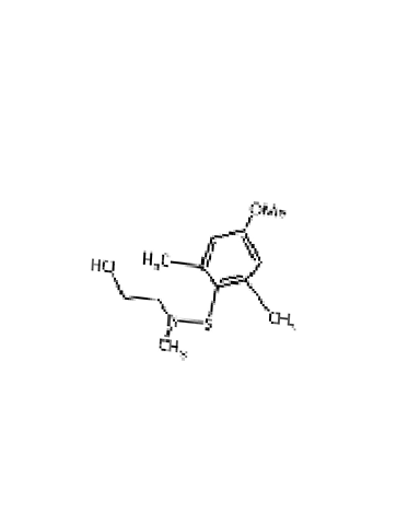 COc1cc(C)c(SN(C)CCO)c(C)c1